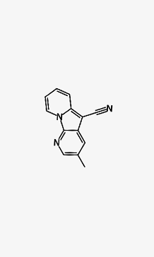 Cc1cnc2c(c1)c(C#N)c1ccccn12